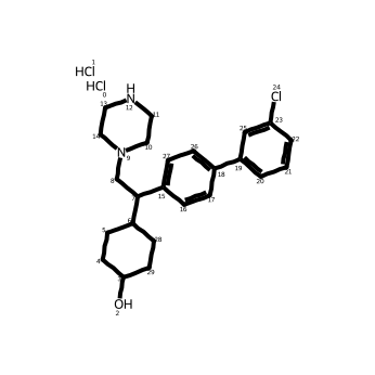 Cl.Cl.OC1CCC(C(CN2CCNCC2)c2ccc(-c3cccc(Cl)c3)cc2)CC1